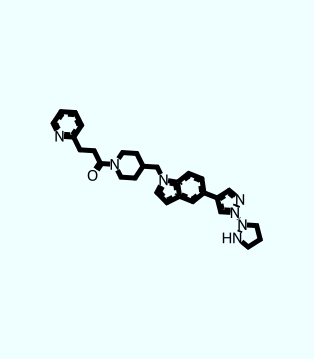 O=C(CCc1ccccn1)N1CCC(Cn2ccc3cc(-c4cnn(N5CCCN5)c4)ccc32)CC1